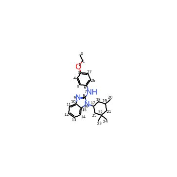 CCOc1ccc(Nc2nc3ccccc3n2C2CC(C)CC(C)(C)C2)cc1